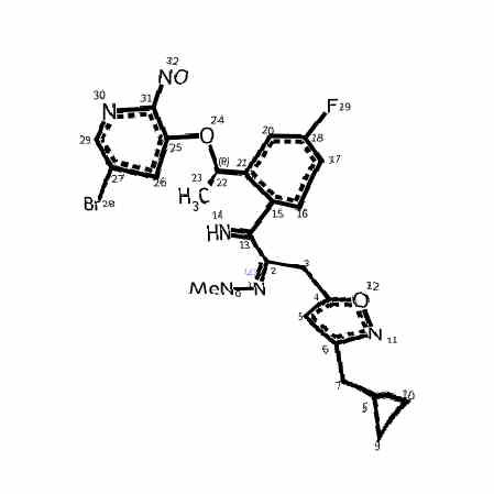 CN/N=C(/Cc1cc(CC2CC2)no1)C(=N)c1ccc(F)cc1[C@@H](C)Oc1cc(Br)cnc1N=O